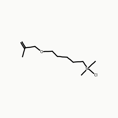 C=C(C)COCCCCC[Si](C)(C)Cl